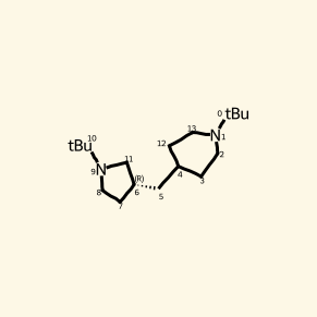 CC(C)(C)N1CCC(C[C@@H]2CCN(C(C)(C)C)C2)CC1